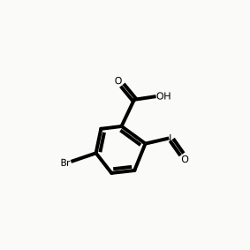 O=Ic1ccc(Br)cc1C(=O)O